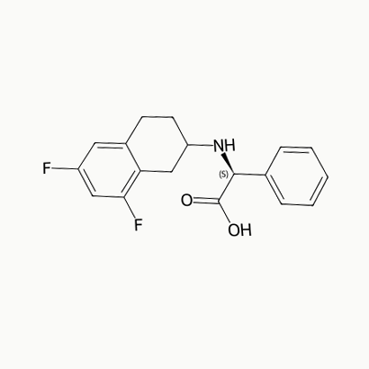 O=C(O)[C@@H](NC1CCc2cc(F)cc(F)c2C1)c1ccccc1